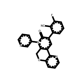 N#Cc1c(F)cccc1-c1cc2c(n(-c3cccnc3)c1=O)COc1cccnc1-2